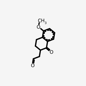 COc1cccc2c1CCC(CC=O)C2=O